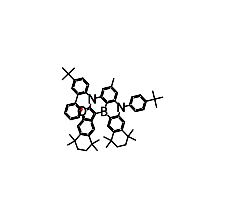 Cc1cc2c3c(c1)N(c1ccc(C(C)(C)C)cc1-c1ccccc1)c1oc4cc5c(cc4c1B3c1cc3c(cc1N2c1ccc(C(C)(C)C)cc1)C(C)(C)CCC3(C)C)C(C)(C)CCC5(C)C